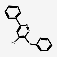 N#Cc1cc(-c2ccccc2)nnc1Oc1ccccc1